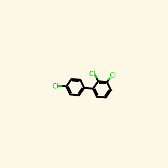 Clc1ccc(-c2cc[c]c(Cl)c2Cl)cc1